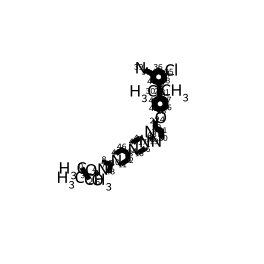 CC(C)(C)OC(=O)N1CC(N2CCC(N3CCN(c4nccc(COc5ccc(C(C)(C)c6cc(Cl)cc(C#N)c6)cc5)n4)CC3)CC2)C1